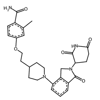 Cc1cc(OCCC2CCN(c3cccc4c3CN(C3CCC(=O)NC3=O)C4=O)CC2)ccc1C(N)=O